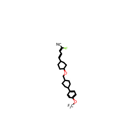 N#CC(F)=CC=CC1CCC(OCC2CCC(c3ccc(OC(F)(F)F)cc3)CC2)CC1